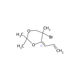 C=C/C=C1/OC(C)(C)OCC1(C)Br